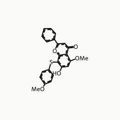 COc1ccc(Sc2c(O)cc(OC)c3c(=O)cc(-c4ccccc4)oc23)cc1